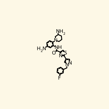 Nc1ccc(N2CCCC(N)C2)c(NC(=O)c2csc(-c3cnn(Cc4cccc(F)c4)c3)n2)c1